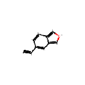 C=Cc1ccc2co[c]c2c1